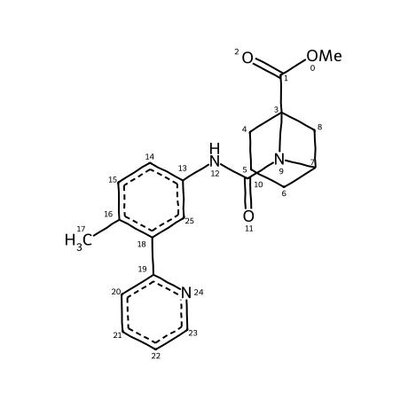 COC(=O)C12CCCC(C1)N2C(=O)Nc1ccc(C)c(-c2ccccn2)c1